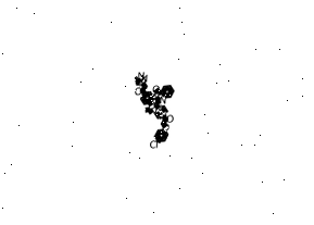 CC(C)Oc1ccc(C(=O)Cn2ccnn2)cc1-n1c(CN2CCN(C(=O)COc3ccc(Cl)cc3)CC2)nc2ccccc2c1=O